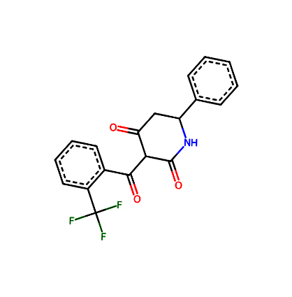 O=C1CC(c2ccccc2)NC(=O)C1C(=O)c1ccccc1C(F)(F)F